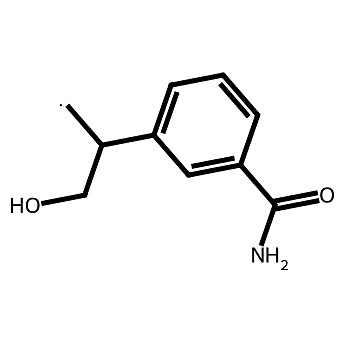 [CH2]C(CO)c1cccc(C(N)=O)c1